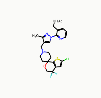 CC(=O)NCc1cccnc1-n1cc(CN2CCC3(CC2)OCC(F)(F)c2cc(Cl)sc23)c(C)n1